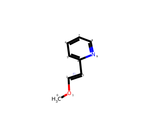 CO/C=C/c1ccccn1